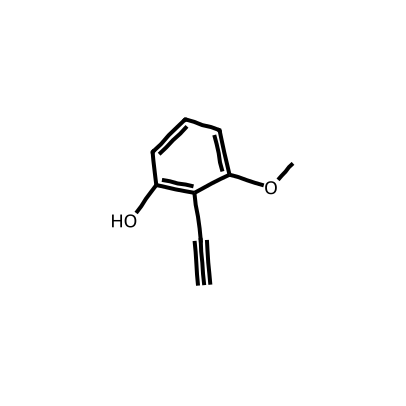 C#Cc1c(O)cccc1OC